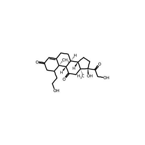 C[C@]12CC(=O)[C@H]3[C@@H](CCC4=CC(=O)CC(CCO)[C@@]43C)[C@@H]1CC[C@]2(O)C(=O)CO